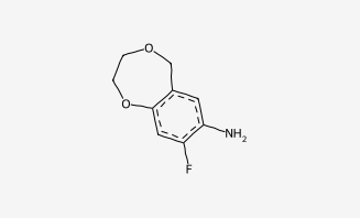 Nc1cc2c(cc1F)OCCOC2